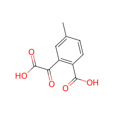 Cc1ccc(C(=O)O)c(C(=O)C(=O)O)c1